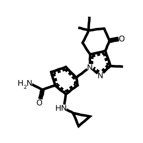 Cc1nn(-c2ccc(C(N)=O)c(NC3CC3)c2)c2c1C(=O)CC(C)(C)C2